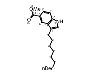 CCCCCCCCCCCCCCCCc1c[nH]c2ccc(C(=O)OC)cc12